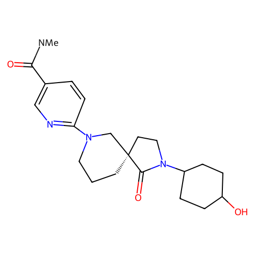 CNC(=O)c1ccc(N2CCC[C@@]3(CCN(C4CCC(O)CC4)C3=O)C2)nc1